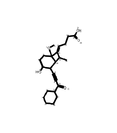 COC12CCC(O)C(C#CC(=O)C3CCCCC3)C1C(C)C2=CCCC(=O)O